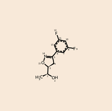 C[C@H](O)[C@@H]1CC(c2cc(F)cc(F)c2)=NO1